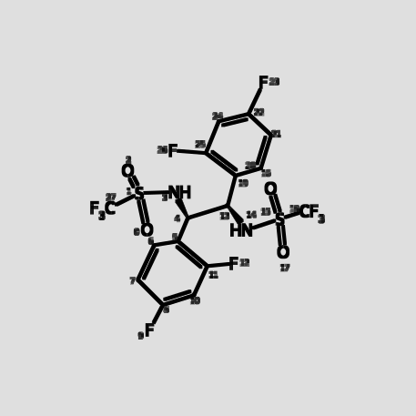 O=S(=O)(N[C@H](c1ccc(F)cc1F)[C@H](NS(=O)(=O)C(F)(F)F)c1ccc(F)cc1F)C(F)(F)F